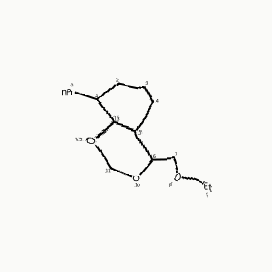 CCCC1CCCC2C(COCC)OCOC12